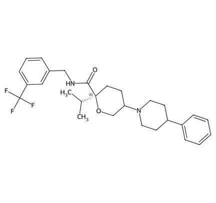 CC(C)[C@]1(C(=O)NCc2cccc(C(F)(F)F)c2)CCC(N2CCC(c3ccccc3)CC2)CO1